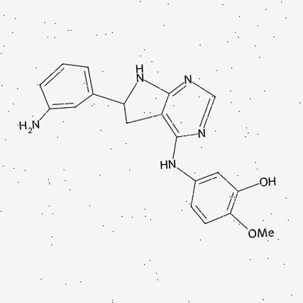 COc1ccc(Nc2ncnc3c2CC(c2cccc(N)c2)N3)cc1O